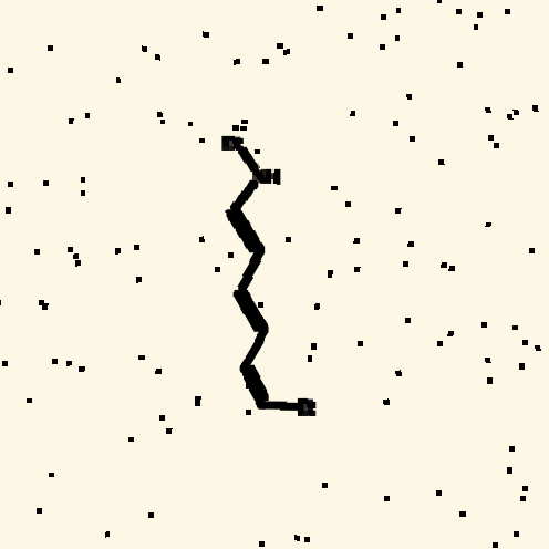 CC\C=C/C=C/C=C/NCC